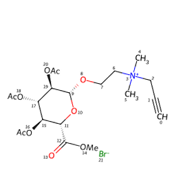 C#CC[N+](C)(C)CCO[C@@H]1O[C@H](C(=O)OC)[C@@H](OC(C)=O)[C@H](OC(C)=O)[C@H]1OC(C)=O.[Br-]